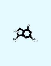 Nc1cc(Br)c2c(c1)C(O)NC2